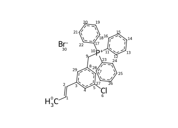 CC=Cc1cc(Cl)cc(C[P+](c2ccccc2)(c2ccccc2)c2ccccc2)c1.[Br-]